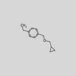 CCc1ccc(COCC2CC2)cc1